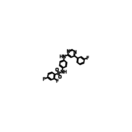 O=S(=O)(Nc1ccc(Nc2cc(-c3cccc(F)c3)ncn2)cc1)c1ccc(F)cc1F